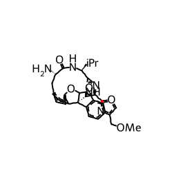 COCc1coc(-c2nc3oc2[C@@]24c5ccccc5NC2Oc2ccc(cc24)C[C@H](N)C(=O)N[C@H]3C(C)C)n1